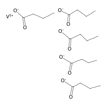 CCCC(=O)[O-].CCCC(=O)[O-].CCCC(=O)[O-].CCCC(=O)[O-].CCCC(=O)[O-].[V+5]